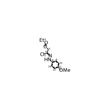 CCOOC/C(Cl)=N/Nc1ccc(OC)cc1